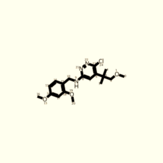 COCC(C)(C)c1cc(NCc2ccc(OC)cc2OC)nnc1Cl